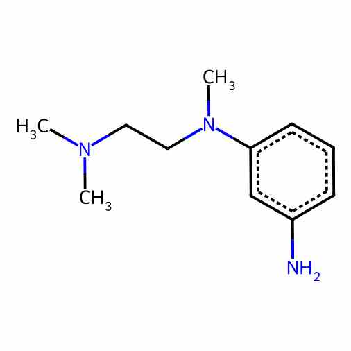 CN(C)CCN(C)c1cccc(N)c1